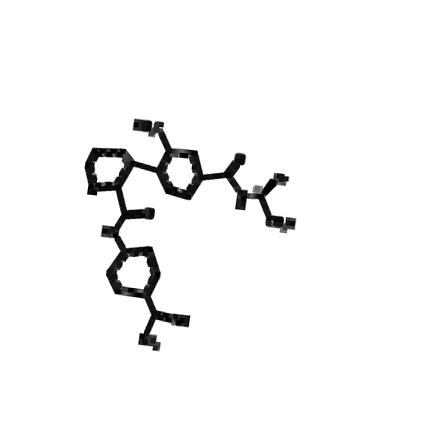 CC(C)[C@H](NC(=O)c1ccc(-c2cccnc2C(=O)Nc2ccc(C(=N)N)cc2)c(C(=O)O)c1)C(=O)O